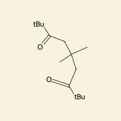 CC(C)(CC(=O)C(C)(C)C)CC(=O)C(C)(C)C